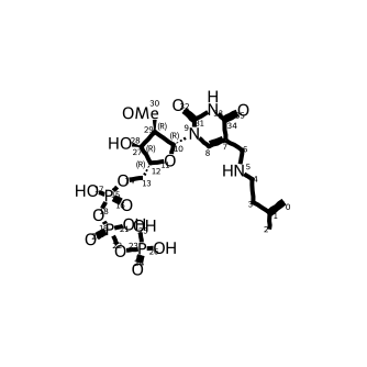 C=C(C)CCNCc1cn([C@@H]2O[C@H](COP(=O)(O)OP(=O)(O)OP(=O)(O)O)[C@@H](O)[C@H]2OC)c(=O)[nH]c1=O